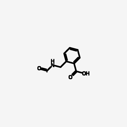 O=[C]NCc1ccccc1C(=O)O